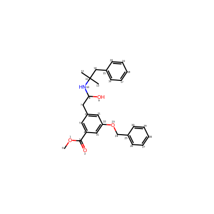 COC(=O)c1cc(CC(O)NC(C)(C)Cc2ccccc2)cc(OCc2ccccc2)c1